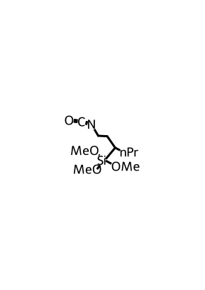 CCCC(CCN=C=O)[Si](OC)(OC)OC